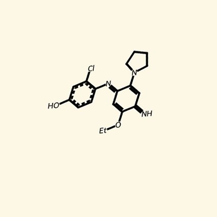 CCOC1=CC(=Nc2ccc(O)cc2Cl)C(N2CCCC2)=CC1=N